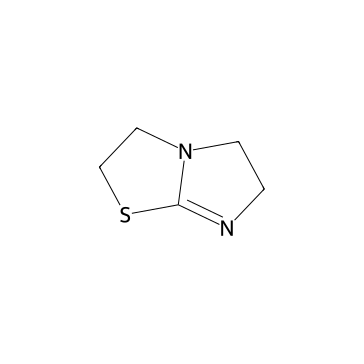 C1CN2CCSC2=N1